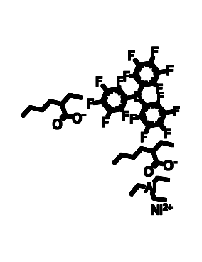 CCCCC(CC)C(=O)[O-].CCCCC(CC)C(=O)[O-].C[CH2][Al]([CH2]C)[CH2]C.Fc1c(F)c(F)c(B(c2c(F)c(F)c(F)c(F)c2F)c2c(F)c(F)c(F)c(F)c2F)c(F)c1F.[Ni+2]